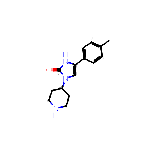 Cc1ccc(-c2cn(C3CCNCC3)c(=O)[nH]2)cc1